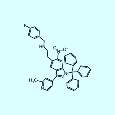 Cc1cc(-c2nn(C(c3ccccc3)(c3ccccc3)c3ccccc3)c3cc([N+](=O)[O-])c(CCNCc4ccc(F)cc4)cc23)ccn1